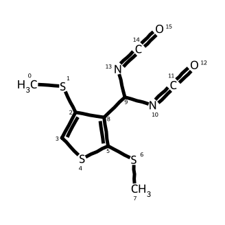 CSc1csc(SC)c1C(N=C=O)N=C=O